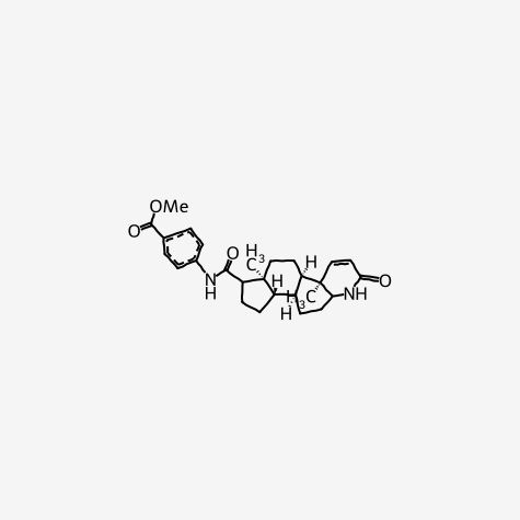 COC(=O)c1ccc(NC(=O)C2CC[C@H]3[C@@H]4CCC5NC(=O)C=C[C@]5(C)[C@@H]4CC[C@]23C)cc1